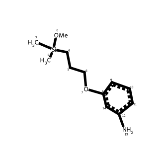 CO[Si](C)(C)CCCOc1cccc(N)c1